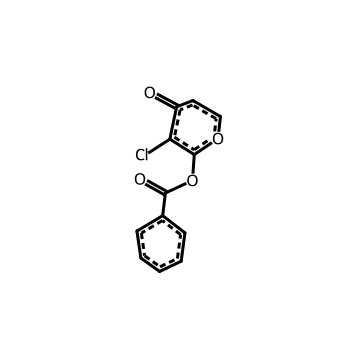 O=C(Oc1occc(=O)c1Cl)c1ccccc1